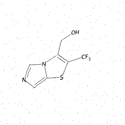 OCc1c(C(F)(F)F)sc2cncn12